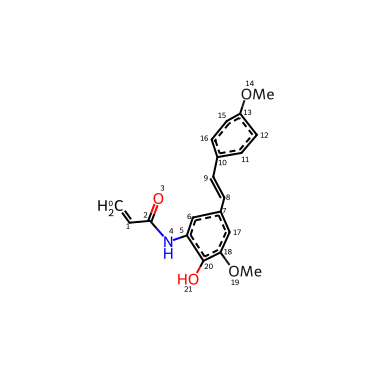 C=CC(=O)Nc1cc(/C=C/c2ccc(OC)cc2)cc(OC)c1O